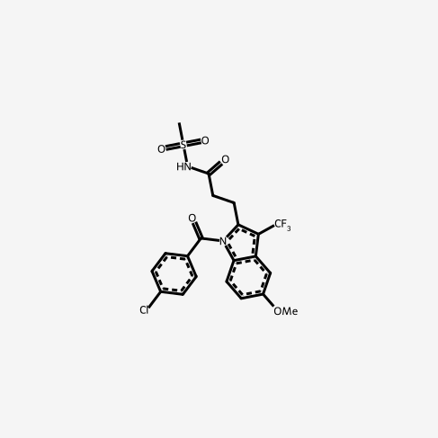 COc1ccc2c(c1)c(C(F)(F)F)c(CCC(=O)NS(C)(=O)=O)n2C(=O)c1ccc(Cl)cc1